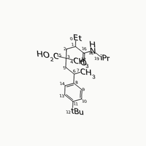 CCC(CC(C)(CC(C)c1ccc(C(C)(C)C)cc1)C(=O)O)C(=O)NC(C)C